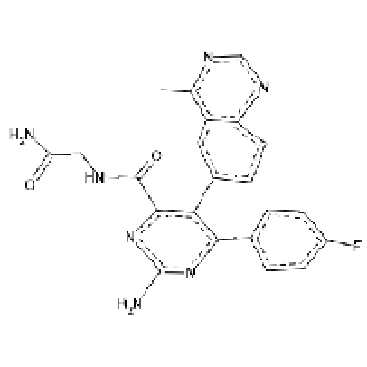 Cc1ncnc2ccc(-c3c(C(=O)NCC(N)=O)nc(N)nc3-c3ccc(F)cc3)cc12